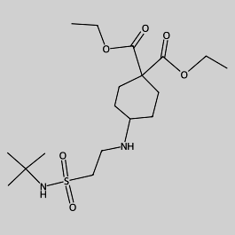 CCOC(=O)C1(C(=O)OCC)CCC(NCCS(=O)(=O)NC(C)(C)C)CC1